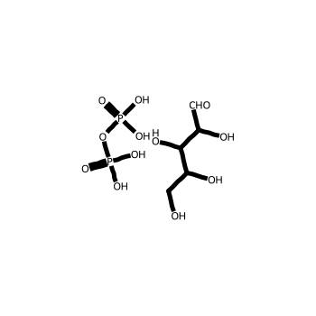 O=CC(O)C(O)C(O)CO.O=P(O)(O)OP(=O)(O)O